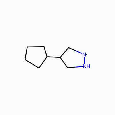 C1CCC(C2C[N]NC2)C1